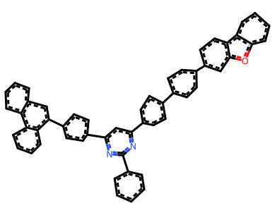 c1ccc(-c2nc(-c3ccc(-c4ccc(-c5ccc6c(c5)oc5ccccc56)cc4)cc3)cc(-c3ccc(-c4cc5ccccc5c5ccccc45)cc3)n2)cc1